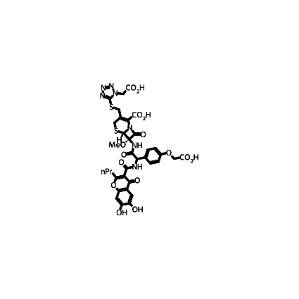 CCCc1oc2cc(O)c(O)cc2c(=O)c1C(=O)NC(C(=O)N[C@]1(OC)C(=O)N2C(C(=O)O)=C(CSc3nnnn3CC(=O)O)CS[C@H]21)c1ccc(OCC(=O)O)cc1